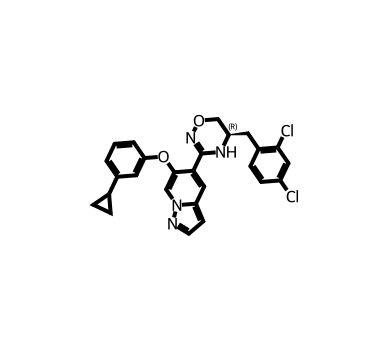 Clc1ccc(C[C@@H]2CON=C(c3cc4ccnn4cc3Oc3cccc(C4CC4)c3)N2)c(Cl)c1